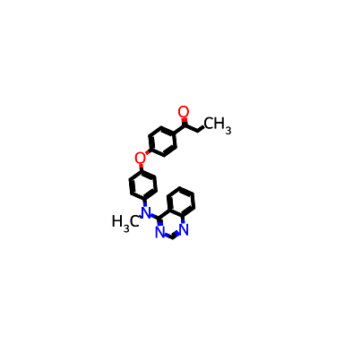 CCC(=O)c1ccc(Oc2ccc(N(C)c3ncnc4ccccc34)cc2)cc1